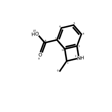 CC1Nc2cccc(C(=O)O)c21